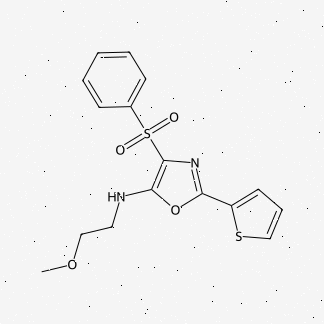 COCCNc1oc(-c2cccs2)nc1S(=O)(=O)c1ccccc1